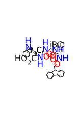 CC[C@H](C)[C@H](NC(=O)[C@H](Cc1ccccc1)NC(=O)OCC1c2ccccc2-c2ccccc21)C(=O)N[C@@H](C)C(=O)N[C@@H](Cc1c[nH]c2ccccc12)C(=O)O